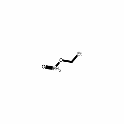 CCCO[PH2]=O